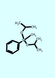 CC(C)O[Si](C)(OC(C)C)c1cc[c]cc1